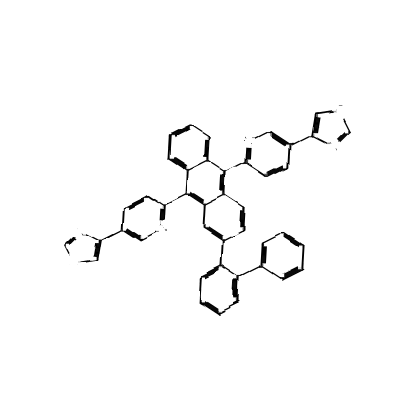 c1ccc(-c2ccccc2-c2ccc3c(-c4ccc(-c5cocn5)cn4)c4ccccc4c(-c4ccc(-c5cocn5)cn4)c3c2)cc1